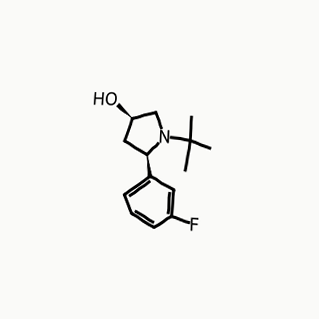 CC(C)(C)N1C[C@H](O)C[C@@H]1c1cccc(F)c1